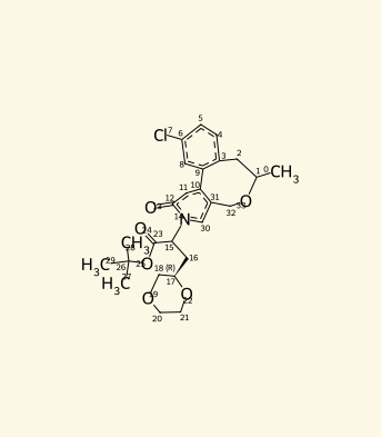 CC1Cc2ccc(Cl)cc2-c2cc(=O)n(C(C[C@@H]3COCCO3)C(=O)OC(C)(C)C)cc2CO1